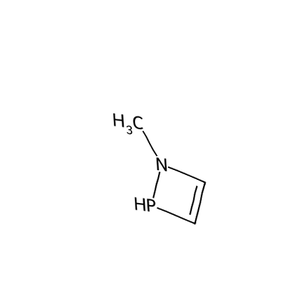 Cn1cc[pH]1